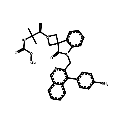 C=C(N1CC2(C1)C(=O)N(Cc1ncc3ccccc3c1-c1ccc(N)cc1)c1ccccc12)C(C)(C)NC(=O)OC(C)(C)C